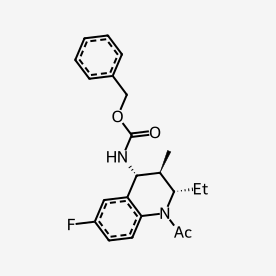 CC[C@H]1[C@H](C)[C@@H](NC(=O)OCc2ccccc2)c2cc(F)ccc2N1C(C)=O